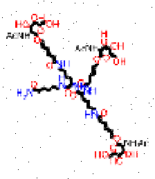 CC(=O)N[C@H]1C(O)[C@@H](O)C(CO)O[C@H]1OCCCCCC(=O)NCCCCC(NC(=O)CCCCCO[C@@H]1OC(CO)[C@H](O)C(O)[C@@H]1NC(C)=O)C(=O)NC(CCCCNC(=O)CCCCCO[C@@H]1OC(CO)[C@H](O)C(O)[C@@H]1NC(C)=O)C(=O)NCCCCCC(N)=O